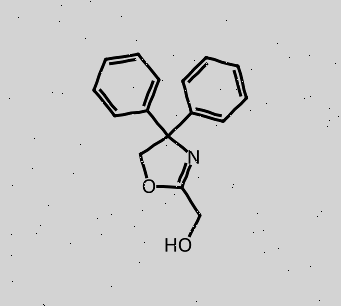 OCC1=NC(c2ccccc2)(c2ccccc2)CO1